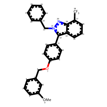 COc1cccc(COc2ccc(-c3c4cccc(C(F)(F)F)c4nn3Cc3ccccc3)cc2)c1